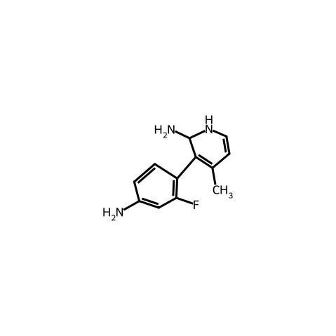 CC1=C(c2ccc(N)cc2F)C(N)NC=C1